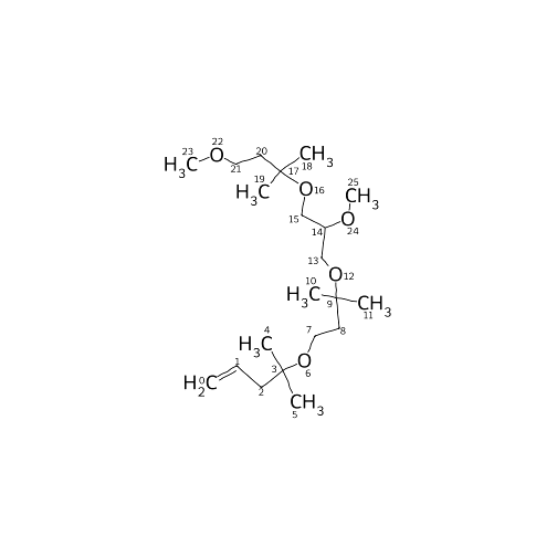 C=CCC(C)(C)OCCC(C)(C)OCC(COC(C)(C)CCOC)OC